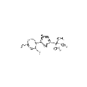 CC(C)(C)c1csc(-c2ccc(F)cc2F)n1